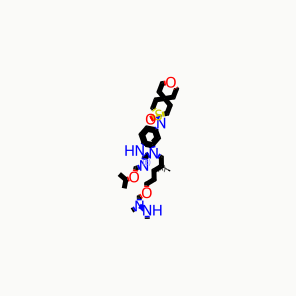 CNN(C)COCCC[C@@H](C)Cn1/c(=N/COC(C)C)[nH]c2ccc(N=S3(=O)CCC4(CCOCC4)CC3)cc21